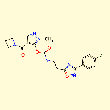 Cn1ncc(C(=O)N2CCC2)c1OC(=O)NCCc1nc(-c2ccc(Cl)cc2)no1